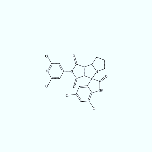 O=C1C2C3CCCN3C3(C(=O)Nc4c(Cl)cc(Cl)cc43)C2C(=O)N1c1cc(Cl)nc(Cl)c1